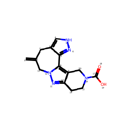 C=C1Cc2c[nH]nc2-c2c3c(nn2C1)CCN(C(=O)O)C3